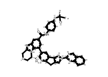 C[C@@H]1COCc2nc3cc(C(=O)Nc4ccc(OC(F)(F)Cl)cc4)cc(-c4cnc5c(c4)-c4nn(-c6ncc7ccccc7n6)cc4C5)c3n21